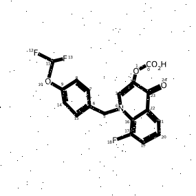 O=C(O)Oc1cn(Cc2ccc(OC(F)F)cc2)c2c(F)cccc2c1=O